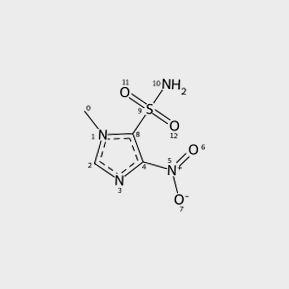 Cn1cnc([N+](=O)[O-])c1S(N)(=O)=O